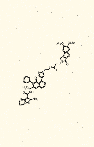 COc1cc2sc3c(c2cc1OC)CN(CCC(=O)OCCn1cc(-c2cccc4cc([C@H](C)NC(=O)c5c(N)nn6cccnc56)n(-c5ccccc5)c(=O)c24)nn1)C3=O